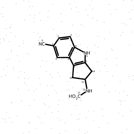 N#Cc1ccc2[nH]c3c(c2c1)CC(NC(=O)O)C3